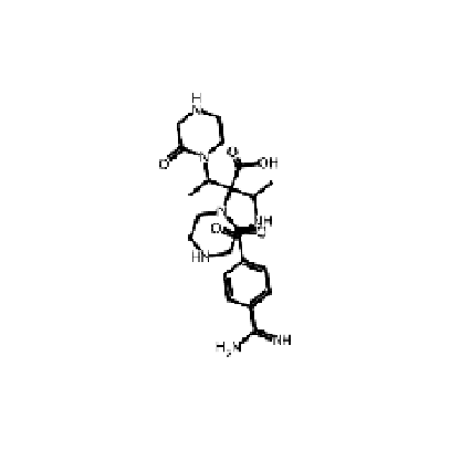 CC(NC(=O)c1ccc(C(=N)N)cc1)C(C(=O)O)(C(C)N1CCNCC1=O)N1CCNCC1=O